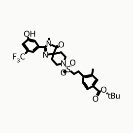 Cc1cc(C(=O)OC(C)(C)C)ccc1CCS(=O)(=O)N1CCC2(CC1)N=C(c1cc(O)cc(C(F)(F)F)c1)N(C)C2=O